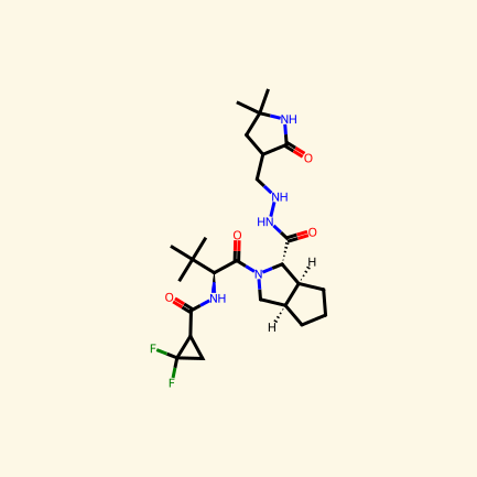 CC1(C)CC(CNNC(=O)[C@@H]2[C@H]3CCC[C@H]3CN2C(=O)[C@@H](NC(=O)C2CC2(F)F)C(C)(C)C)C(=O)N1